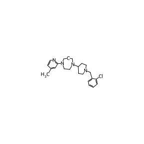 Cc1ccnc(N2CCCN(C3CCN(Cc4ccccc4Cl)CC3)CC2)c1